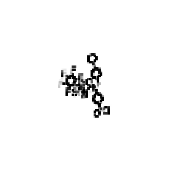 O=C(Cl)c1ccc(N(Cc2ccc(C3CCCC3)cc2)C(=O)[C@H]2CCN2S(=O)(=O)c2c(F)c(F)c(F)c(F)c2F)cc1